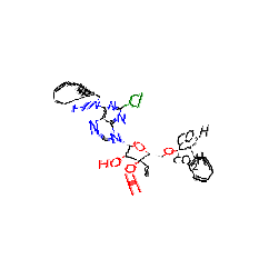 C=C[C@@]1(O)[C@@H](COC(Cc2ccccc2)(C(=O)O)C(=O)O)O[C@@H](n2cnc3c(NCc4ccccc4)nc(Cl)nc32)[C@@H]1O